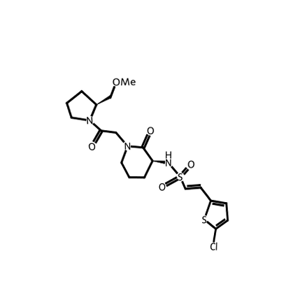 COC[C@@H]1CCCN1C(=O)CN1CCC[C@H](NS(=O)(=O)/C=C/c2ccc(Cl)s2)C1=O